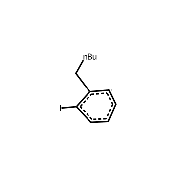 CCCCCc1[c]cccc1I